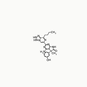 CCCCC1=NC(c2nc(N)c3c(n2)NC(=O)C3(C)c2cccc(O)c2)=CN2NNN=C12